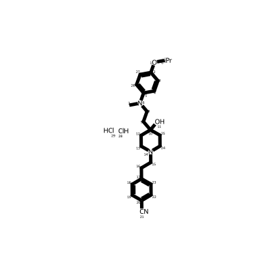 CC(C)Oc1ccc(N(C)CCC2(O)CCN(CCc3ccc(C#N)cc3)CC2)cc1.Cl.Cl